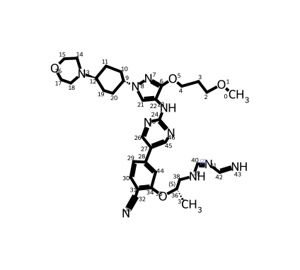 COCCCOc1nn([C@H]2CC[C@H](N3CCOCC3)CC2)cc1Nc1ncc(-c2ccc(C#N)c(O[C@@H](C)CN/C=N\C=N)c2)cn1